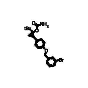 CC(C)(C)C1(OC(N)=O)CC1c1ccc(OCc2cccc(Br)c2)cc1